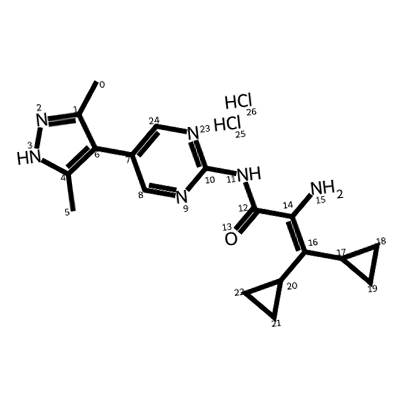 Cc1n[nH]c(C)c1-c1cnc(NC(=O)C(N)=C(C2CC2)C2CC2)nc1.Cl.Cl